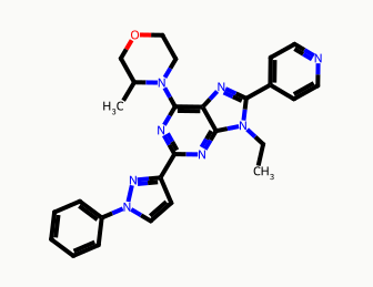 CCn1c(-c2ccncc2)nc2c(N3CCOCC3C)nc(-c3ccn(-c4ccccc4)n3)nc21